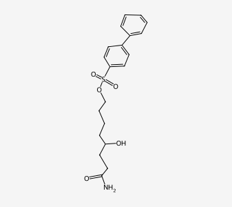 NC(=O)CCC(O)CCCCOS(=O)(=O)c1ccc(-c2ccccc2)cc1